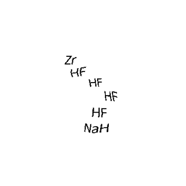 F.F.F.F.[NaH].[Zr]